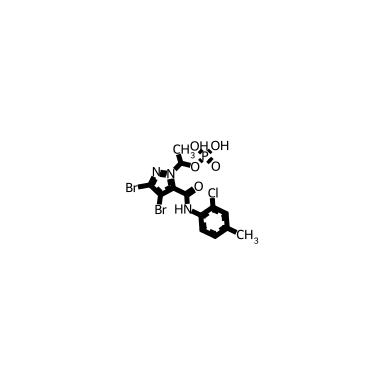 Cc1ccc(NC(=O)c2c(Br)c(Br)nn2C(C)OP(=O)(O)O)c(Cl)c1